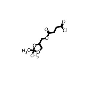 CC1(C)OCC(COC(=O)CCC(=O)Cl)O1